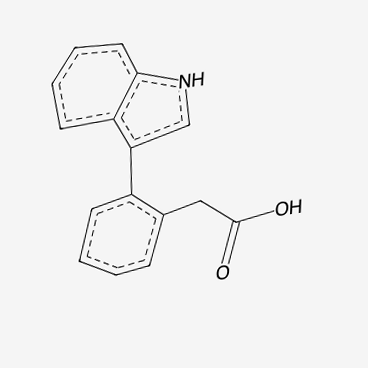 O=C(O)Cc1ccccc1-c1c[nH]c2ccccc12